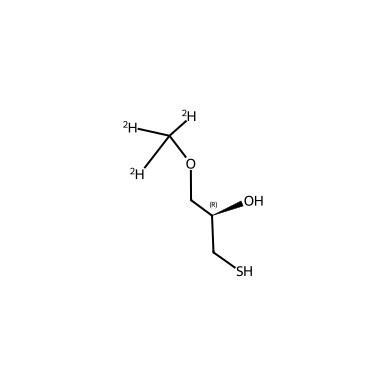 [2H]C([2H])([2H])OC[C@@H](O)CS